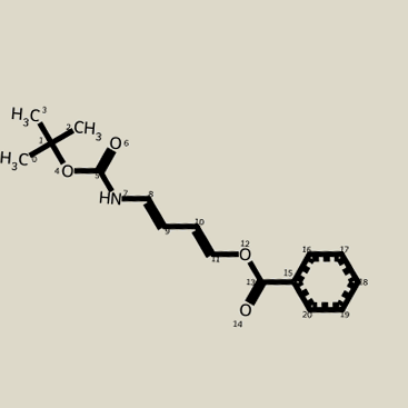 CC(C)(C)OC(=O)NC=CC=COC(=O)c1ccccc1